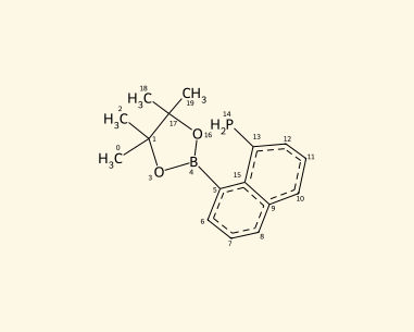 CC1(C)OB(c2cccc3cccc(P)c23)OC1(C)C